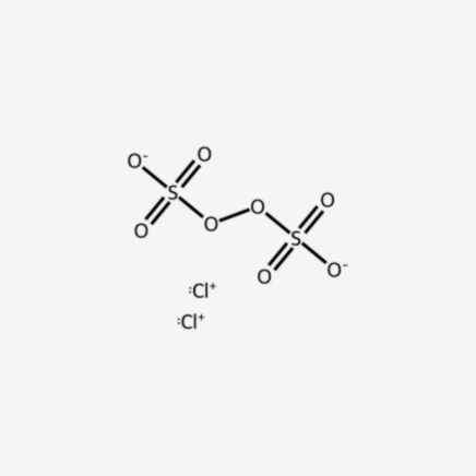 O=S(=O)([O-])OOS(=O)(=O)[O-].[Cl+].[Cl+]